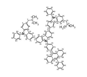 CC(C)Cc1ccc2c(c1)c1cc(-c3ccc4c(c3)c3cc(-c5ccc6c(c5)c5cc(CC(C)C)ccc5n6-c5ccccc5)ccc3n4-c3ccc(-c4c5ccccc5c(-c5ccccc5)c5ccccc45)cc3)ccc1n2-c1ccccc1